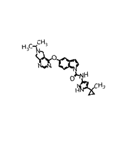 CC(C)N1Cc2ncnc(Oc3ccc4c(ccn4C(=O)Nc4cc(C5(C)CC5)[nH]n4)c3)c2C1